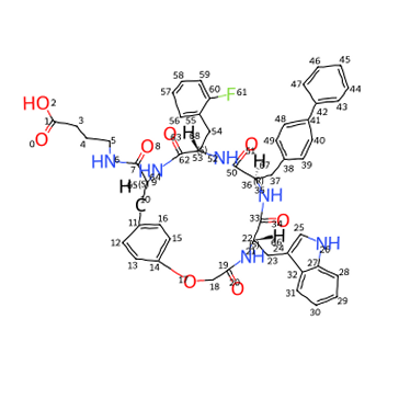 O=C(O)CCCNC(=O)[C@@H]1Cc2ccc(cc2)OCC(=O)N[C@@H](Cc2c[nH]c3ccccc23)C(=O)N[C@H](Cc2ccc(-c3ccccc3)cc2)C(=O)N[C@@H](Cc2ccccc2F)C(=O)N1